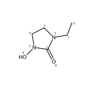 CCN1CCN(O)C1=O